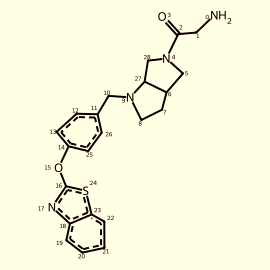 NCC(=O)N1CC2CCN(Cc3ccc(Oc4nc5ccccc5s4)cc3)C2C1